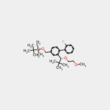 COCCO[C@@H](c1cc(CO[Si](C)(C)C(C)(C)C)ccc1-c1ccccc1F)C(C)(C)C